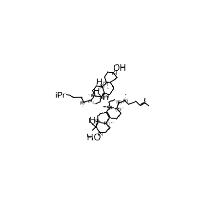 CC(C)=CCC[C@@H](C)[C@H]1CC[C@@]2(C)C3=C(CC[C@]12C)[C@@]1(C)CC[C@H](O)C(C)(C)[C@@H]1CC3.CC(C)CCC[C@@H](C)[C@H]1CC[C@H]2[C@@H]3CCC4C[C@@H](O)CC[C@]4(C)[C@H]3CC[C@]12C